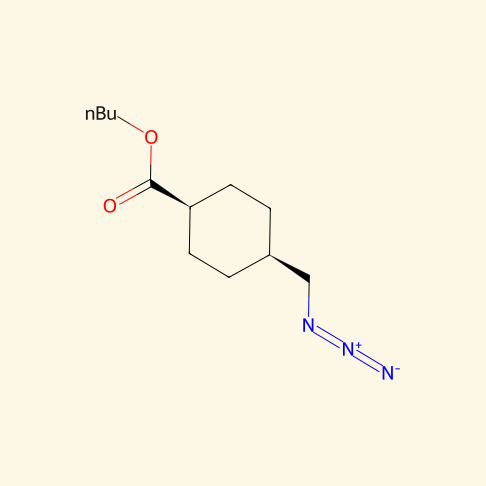 CCCCOC(=O)[C@H]1CC[C@@H](CN=[N+]=[N-])CC1